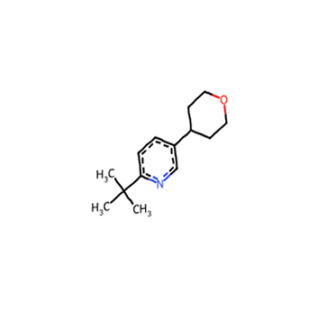 CC(C)(C)c1ccc(C2CCOCC2)cn1